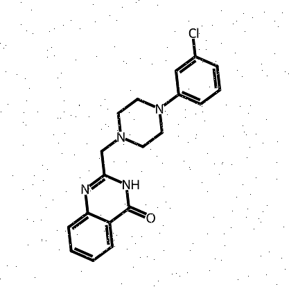 O=c1[nH]c(CN2CCN(c3cccc(Cl)c3)CC2)nc2ccccc12